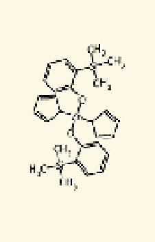 C[Si](C)(C)c1ccccc1[O][Zr]([O]c1ccccc1[Si](C)(C)C)([CH]1C=CC=C1)[CH]1C=CC=C1